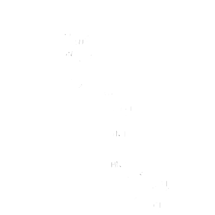 CO[SH](=O)=Nc1ccc(OCC(O)CNCCNc2ccc(Cl)c(Cl)c2)cc1